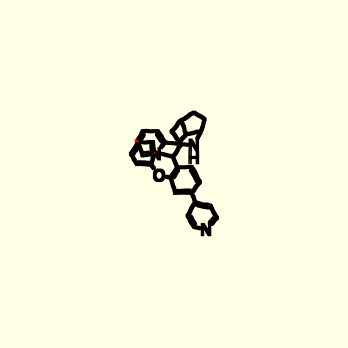 c1ccc(CC2C3CCC2NC(C2c4ccccc4Oc4cc(-c5ccncc5)ccc42)C3)nc1